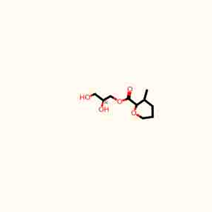 CC1CCCOC1C(=O)OC[C@@H](O)CO